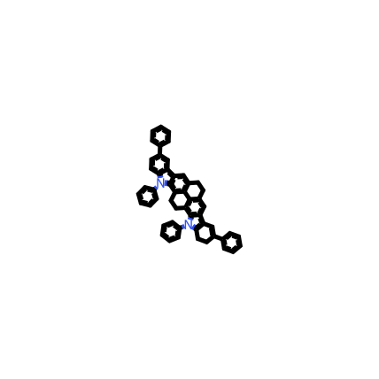 C1=C(c2ccccc2)CCc2c1c1cc3c4c(c1n2-c1ccccc1)CCc1c-4c(cc2c4cc(-c5ccccc5)ccc4n(-c4ccccc4)c12)CC3